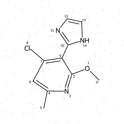 COc1nc(C)cc(Cl)c1-c1ncc[nH]1